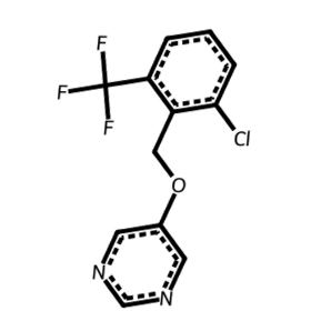 FC(F)(F)c1cccc(Cl)c1COc1cncnc1